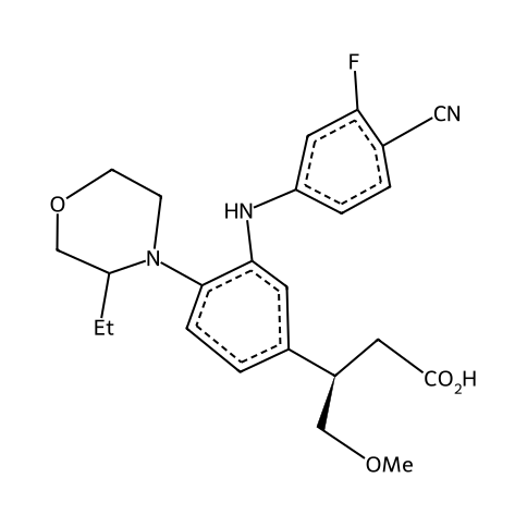 CCC1COCCN1c1ccc([C@H](COC)CC(=O)O)cc1Nc1ccc(C#N)c(F)c1